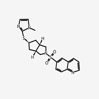 Cn1ccnc1S[C@H]1C[C@@H]2CN(S(=O)(=O)c3ccc4ncccc4c3)C[C@@H]2C1